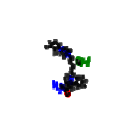 Cc1cccc(N2CCN(CCCCCn3c(-c4ccccc4)cc(C(N)=O)c3C)CC2)c1C.Cl